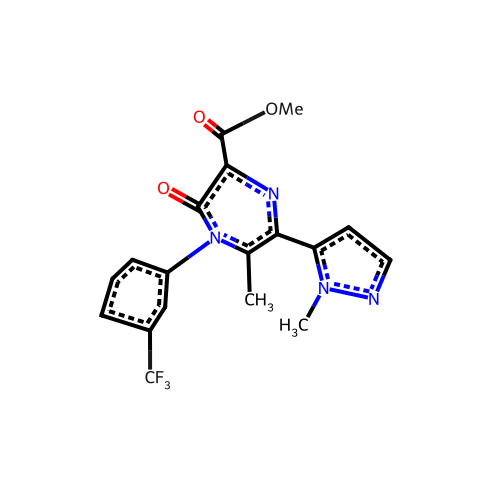 COC(=O)c1nc(-c2ccnn2C)c(C)n(-c2cccc(C(F)(F)F)c2)c1=O